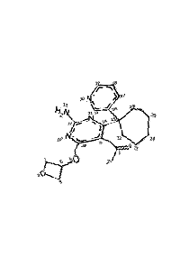 C=C(C)c1c(OC2COC2)nc(N)nc1C1(c2cccnc2)CCCCC1